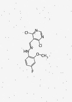 COc1cc(F)ccc1NN=Cc1c(Cl)ncnc1Cl